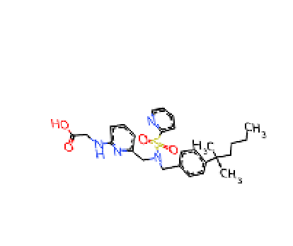 CCCCC(C)(C)c1ccc(CN(Cc2cccc(NCC(=O)O)n2)S(=O)(=O)c2ccccn2)cc1